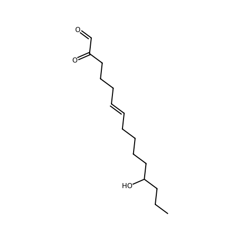 CCCC(O)CCCCC=CCCCC(=O)C=O